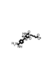 COC(=O)CCCCn1c(=O)[nH]c2c(nc(-c3ccc(C(=N)N)cc3)n2C)c1=O